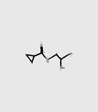 CC(C)C(CNC(=O)C1CC1)C(C)(C)C